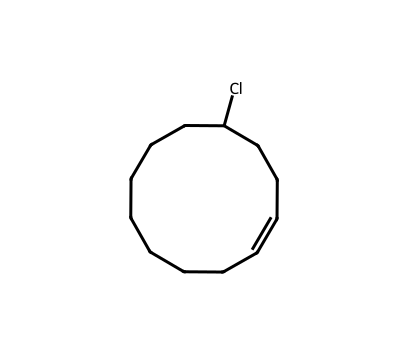 ClC1CCC=CCCCCCCC1